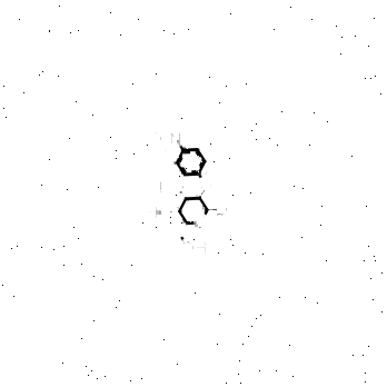 O=[N+]([O-])c1ccc(O[C@@H]2[C@@H](O)[C@@H](O)[C@@H](CO)O[C@@H]2O)cc1